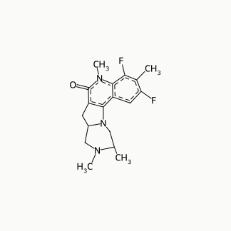 Cc1c(F)cc2c3c(c(=O)n(C)c2c1F)CC1CN(C)C(C)CN31